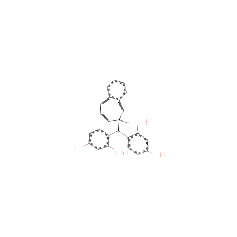 CC1(C(c2ccc(O)cc2O)c2ccc(O)cc2O)C=CC=c2ccccc2=C1